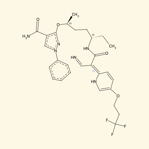 CC[C@@H](CC[C@H](C)Oc1nn(-c2ccccc2)cc1C(N)=O)NC(=O)/C(C=N)=C1\C=CC(OCCC(F)(F)F)=CN1